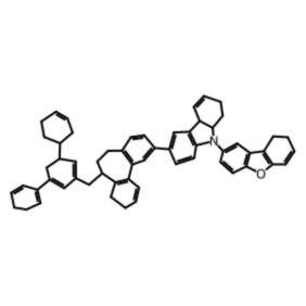 C1=CC(C2=CC(CC3CCc4ccc(-c5ccc6c(c5)C5C=CCCC5N6c5ccc6oc7c(c6c5)CCC=C7)cc4C4=C3CCC=C4)=CC(C3CC=CCC3)C2)=CCC1